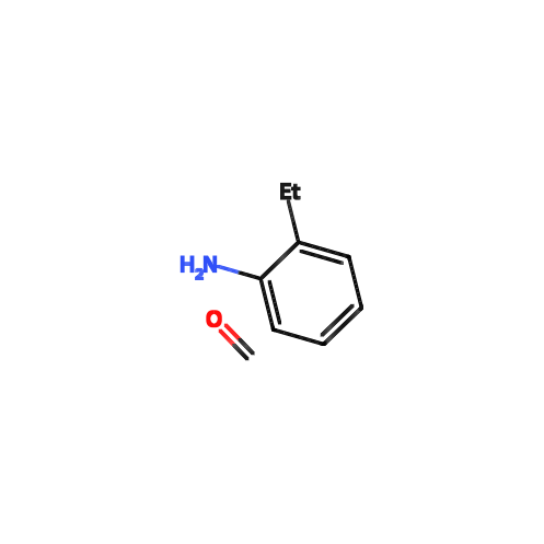 C=O.CCc1ccccc1N